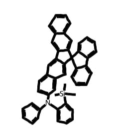 C[Si](C)(C)c1ccccc1N(c1ccccc1)c1ccc2cc3c(cc2c1)C1(c2ccccc2-c2ccccc21)c1cc2ccccc2cc1-3